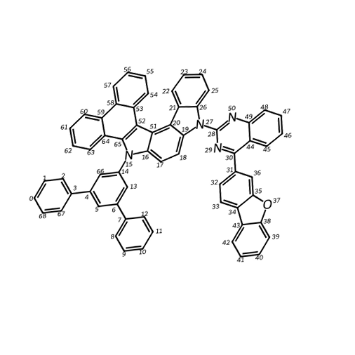 c1ccc(-c2cc(-c3ccccc3)cc(-n3c4ccc5c(c6ccccc6n5-c5nc(-c6ccc7c(c6)oc6ccccc67)c6ccccc6n5)c4c4c5ccccc5c5ccccc5c43)c2)cc1